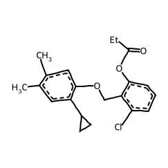 CCC(=O)Oc1cccc(Cl)c1COc1cc(C)c(C)cc1C1CC1